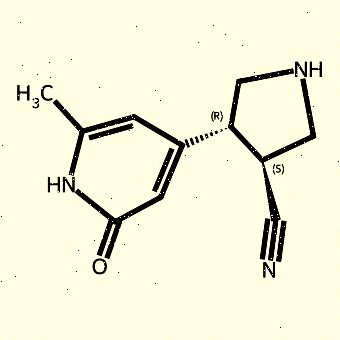 Cc1cc([C@@H]2CNC[C@H]2C#N)cc(=O)[nH]1